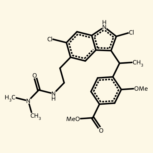 COC(=O)c1ccc(C(C)c2c(Cl)[nH]c3cc(Cl)c(CCNC(=O)N(C)C)cc23)c(OC)c1